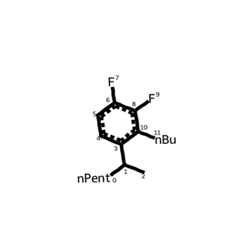 CCCCCC(C)c1ccc(F)c(F)c1CCCC